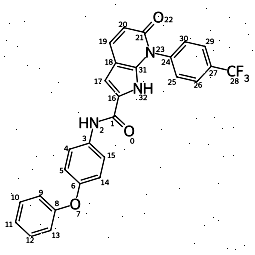 O=C(Nc1ccc(Oc2ccccc2)cc1)c1cc2ccc(=O)n(-c3ccc(C(F)(F)F)cc3)c2[nH]1